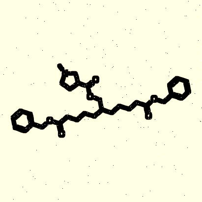 CN1CCC(C(=O)OCC(CCCCC(=O)OCc2ccccc2)CCCCC(=O)OCc2ccccc2)C1